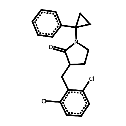 O=C1C(Cc2c(Cl)cccc2Cl)CCN1C1(c2ccccc2)CC1